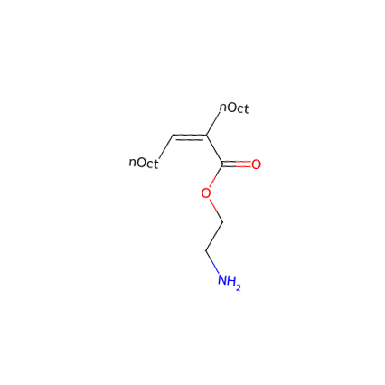 CCCCCCCCC=C(CCCCCCCC)C(=O)OCCN